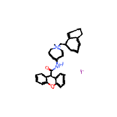 C[N+]1(CC2CCCC3CCCCC32)CCC(NC(=O)C2c3ccccc3Oc3ccccc32)CC1.[I-]